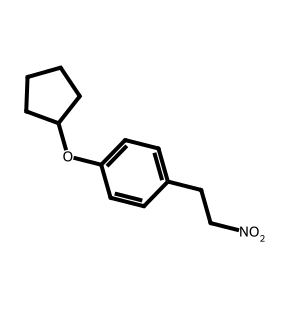 O=[N+]([O-])CCc1ccc(OC2CCCC2)cc1